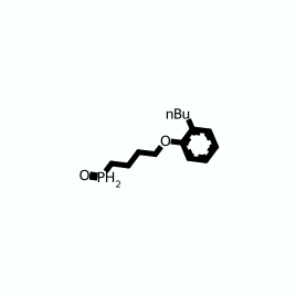 CCCCc1ccccc1OCCCC[PH2]=O